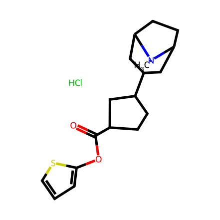 CN1C2CCC1CC(C1CCC(C(=O)Oc3cccs3)C1)C2.Cl